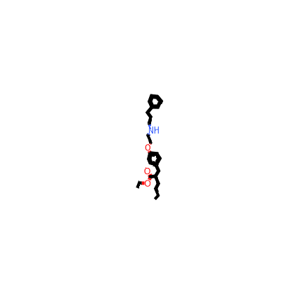 CCCCC(Cc1ccc(OCCNCCCc2ccccc2)cc1)C(=O)OCC